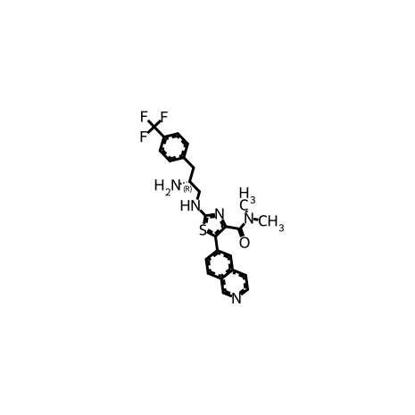 CN(C)C(=O)c1nc(NC[C@H](N)Cc2ccc(C(F)(F)F)cc2)sc1-c1ccc2cnccc2c1